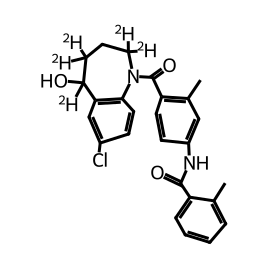 [2H]C1([2H])CC([2H])([2H])C([2H])(O)c2cc(Cl)ccc2N1C(=O)c1ccc(NC(=O)c2ccccc2C)cc1C